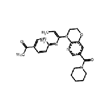 C\C=C(/N=C(C)/C=C\C(=C/CCC)C(=O)OC)N1CCOc2cc(C(=O)N3CCCCC3)cnc21